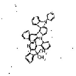 CC1(C)c2ccccc2-c2nc(-c3ccccc3)nc(-c3ccccc3-n3c4ccccc4c4c5c6ccccc6n(-c6ccccc6)c5ccc43)c21